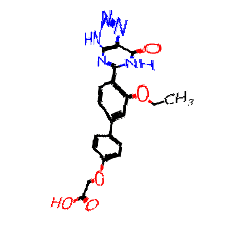 CCOc1cc(-c2ccc(OCC(=O)O)cc2)ccc1-c1nc2[nH]nnc2c(=O)[nH]1